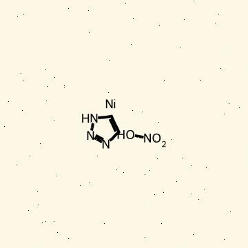 O=[N+]([O-])O.[Ni].c1c[nH]nn1